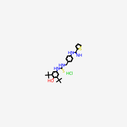 CC(C)(C)c1cc(NC(=S)NCc2ccc(NC(=N)c3cccs3)cc2)cc(C(C)(C)C)c1O.Cl